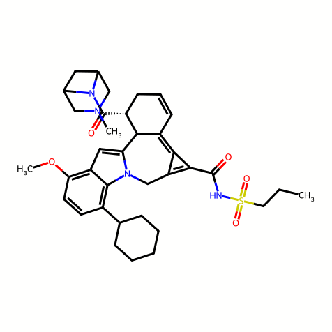 CCCS(=O)(=O)NC(=O)C1=C2Cn3c(cc4c(OC)ccc(C5CCCCC5)c43)C3C(=C21)C=CC[C@H]3C(=O)N1C2CC1CN(C)C2